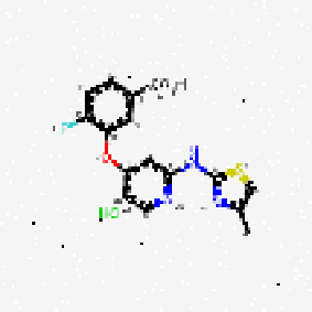 Cc1csc(Nc2cc(Oc3cc(C(=O)O)ccc3F)ccn2)n1.Cl